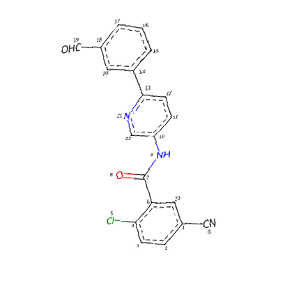 N#Cc1ccc(Cl)c(C(=O)Nc2ccc(-c3cccc(C=O)c3)nc2)c1